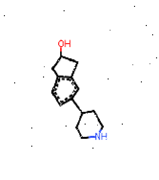 OC1Cc2ccc(C3CCNCC3)cc2C1